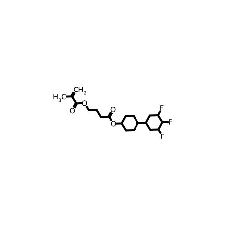 C=C(C)C(=O)OCCCC(=O)OC1CCC(C2CC(F)C(F)C(F)C2)CC1